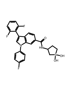 O=C(NC1CCS(O)(O)C1)c1ccc2c(-c3c(F)cccc3F)cn(-c3ccc(F)cc3)c2c1